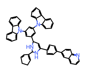 C1=CC(C2NC(c3ccc(-c4ccc5ncccc5c4)cc3)=CC(c3cc(-n4c5ccccc5c5ccccc54)cc(-n4c5ccccc5c5ccccc54)c3)N2)=CCC1